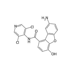 Nc1ccc2oc3c(O)ccc(C(=O)Nc4c(Cl)cncc4Cl)c3c2c1